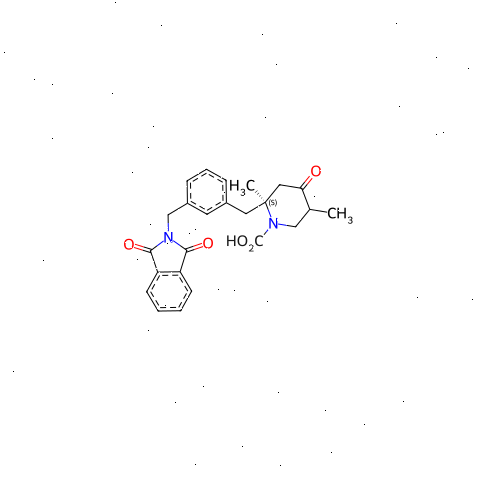 CC1CN(C(=O)O)[C@@](C)(Cc2cccc(CN3C(=O)c4ccccc4C3=O)c2)CC1=O